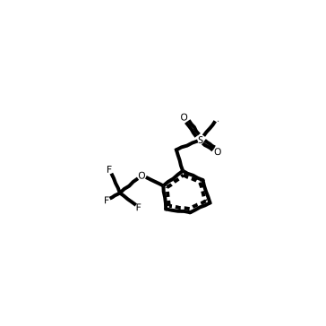 [CH2]S(=O)(=O)Cc1ccccc1OC(F)(F)F